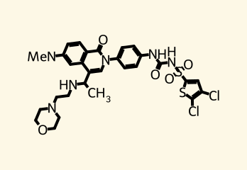 CNc1ccc2c(=O)n(-c3ccc(NC(=O)NS(=O)(=O)c4cc(Cl)c(Cl)s4)cc3)cc(C(C)NCCN3CCOCC3)c2c1